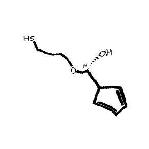 O[C@@H](OCCS)C1C=CC=C1